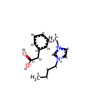 CCCC[n+]1ccn(C)c1.O=C([O-])Cc1ccccc1